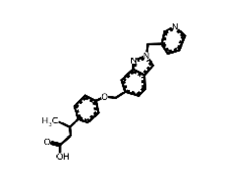 CC(CC(=O)O)c1ccc(OCc2ccc3cn(Cc4cccnc4)nc3c2)cc1